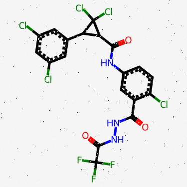 O=C(NNC(=O)C(F)(F)F)c1cc(NC(=O)C2C(c3cc(Cl)cc(Cl)c3)C2(Cl)Cl)ccc1Cl